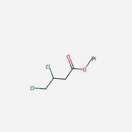 CC(C)OC(=O)CC(Cl)CCl